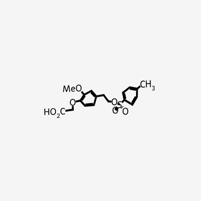 COc1cc(CCOS(=O)(=O)c2ccc(C)cc2)ccc1OCC(=O)O